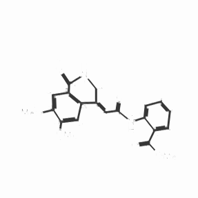 COC(=O)c1ccccc1NC(=O)C=C1CNC(=O)c2cc(OC)c(OC)cc21